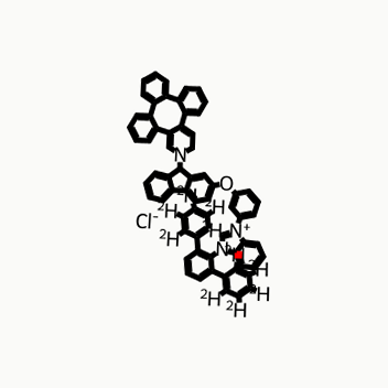 [2H]c1c([2H])c([2H])c(-c2cccc(-c3c([2H])c([2H])c([2H])c([2H])c3[2H])c2-n2c[n+](-c3cccc(Oc4ccc5c(c4)C(N4C=C6C(=CC4)c4ccccc4-c4ccccc4-c4ccccc46)c4ccccc4-5)c3)c3ccccc32)c([2H])c1[2H].[Cl-]